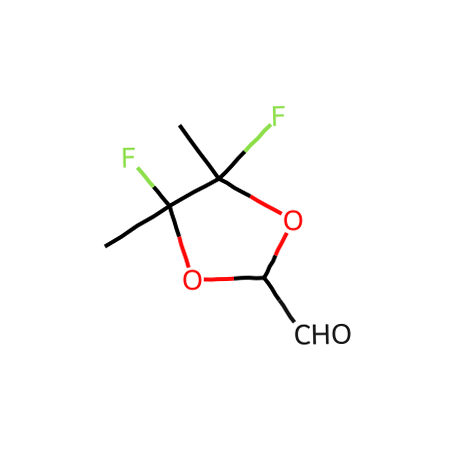 CC1(F)OC(C=O)OC1(C)F